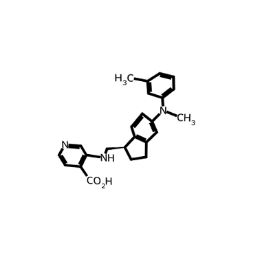 Cc1cccc(N(C)c2ccc3c(c2)CC[C@H]3CNc2cnccc2C(=O)O)c1